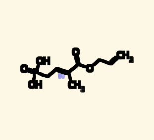 C=CCOC(=O)/C(C)=C/CP(=O)(O)O